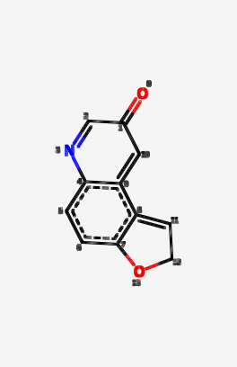 O=C1C=Nc2ccc3c(c2=C1)=CCO3